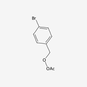 CC(=O)OOCc1ccc(Br)cc1